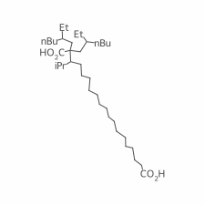 CCCCC(CC)CC(CC(CC)CCCC)(C(=O)O)C(CCCCCCCCCCCCCCCC(=O)O)C(C)C